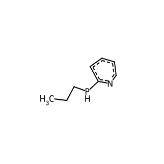 CCCPc1ccccn1